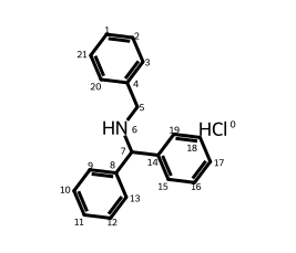 Cl.c1ccc(CNC(c2ccccc2)c2ccccc2)cc1